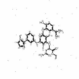 CCOC(=O)C(CC(N)=O)Oc1c(F)c(Oc2cccc(-c3nccn3C)c2)nc(Oc2cc(C(=N)N)ccc2O)c1F